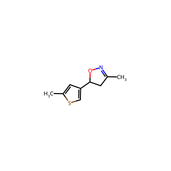 CC1=NOC(c2csc(C)c2)C1